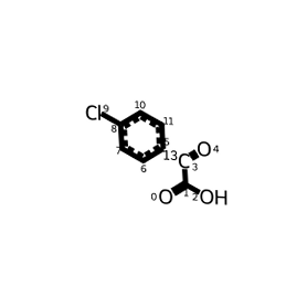 O=C(O)[13C](=O)c1ccc(Cl)cc1